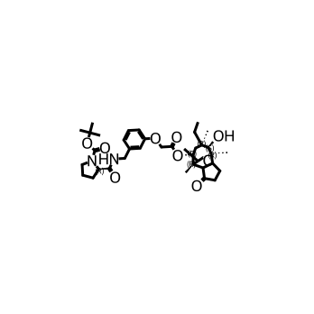 CC[C@]1(C)C[C@@H](OC(=O)COc2cccc(CNC(=O)[C@H]3CCCN3C(=O)OC(C)(C)C)c2)[C@]2(C)C(C)CCC3(CCC(=O)C32)[C@@H](C)[C@@H]1O